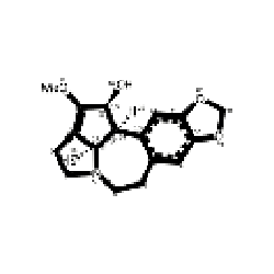 COC1=C2CCN3CCc4cc5c(cc4[C@H]([C@@H]1O)[C@]23S)OCO5